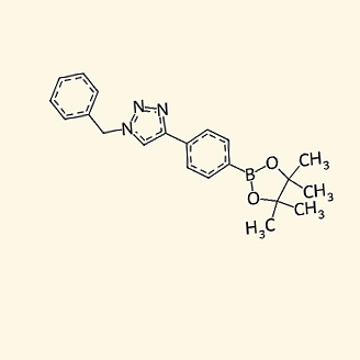 CC1(C)OB(c2ccc(-c3cn(Cc4ccccc4)nn3)cc2)OC1(C)C